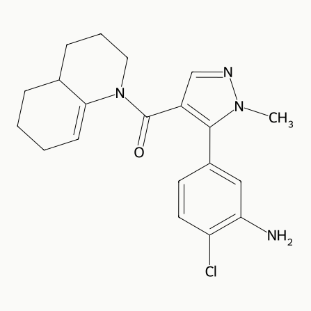 Cn1ncc(C(=O)N2CCCC3CCCC=C32)c1-c1ccc(Cl)c(N)c1